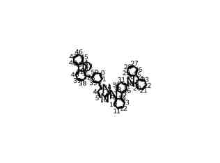 c1cc(-c2ccnc(-n3c4ccccc4c4cc(-n5c6ccccc6c6ccccc65)ccc43)n2)cc(-c2cccc3c2oc2ccccc23)c1